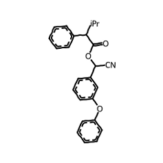 CC(C)C(C(=O)OC(C#N)c1cccc(Oc2ccccc2)c1)c1ccccc1